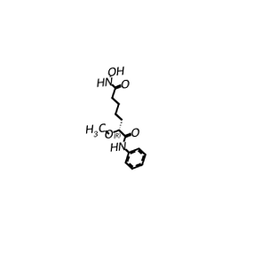 CO[C@H](CCCCC(=O)NO)C(=O)Nc1ccccc1